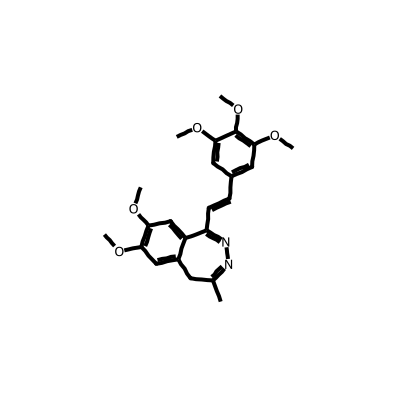 COc1cc2c(cc1OC)C(/C=C/c1cc(OC)c(OC)c(OC)c1)=NN=C(C)C2